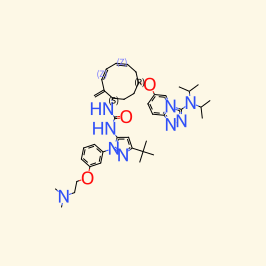 C=C1/C=C\C=C/C[C@H](Oc2ccc3nnc(N(C(C)C)C(C)C)n3c2)CC[C@@H]1NC(=O)Nc1cc(C(C)(C)C)nn1-c1cccc(OCCN(C)C)c1